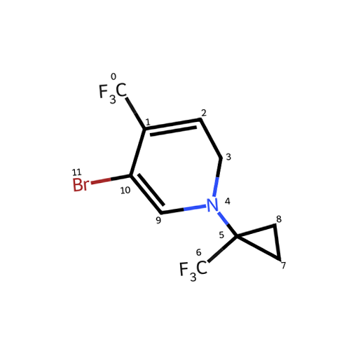 FC(F)(F)C1=CCN(C2(C(F)(F)F)CC2)C=C1Br